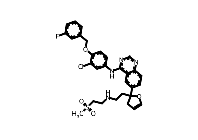 CS(=O)(=O)CCNCCC1(c2ccc3ncnc(Nc4ccc(OCc5cccc(F)c5)c(Cl)c4)c3c2)CC=CO1